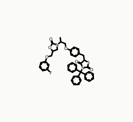 CC(COc1ccc(CC2SC(=O)N(C(c3ccccc3)(c3ccccc3)c3ccccc3)C2=O)cc1)N1CC(COc2cccc(F)c2)OC1=O